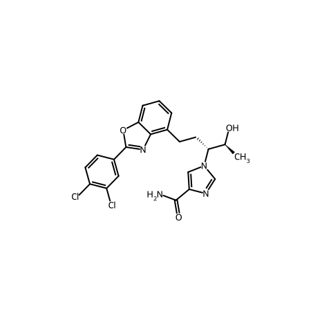 C[C@H](O)[C@@H](CCc1cccc2oc(-c3ccc(Cl)c(Cl)c3)nc12)n1cnc(C(N)=O)c1